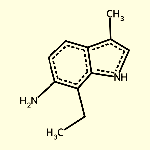 CCc1c(N)ccc2c(C)c[nH]c12